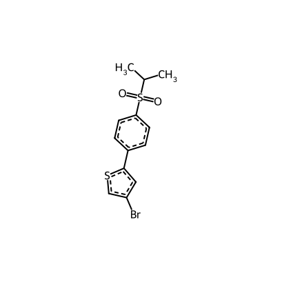 CC(C)S(=O)(=O)c1ccc(-c2cc(Br)cs2)cc1